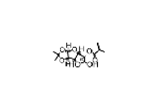 C=C(C)C(=O)O[C@@H]1C(O)O[C@@H]2[C@H]3OC(C)(C)O[C@H]3O[C@@H]21